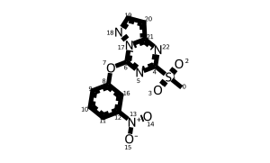 CS(=O)(=O)c1nc(Oc2cccc([N+](=O)[O-])c2)n2nccc2n1